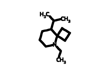 CCN1CCCC(C(C)C)C12CCC2